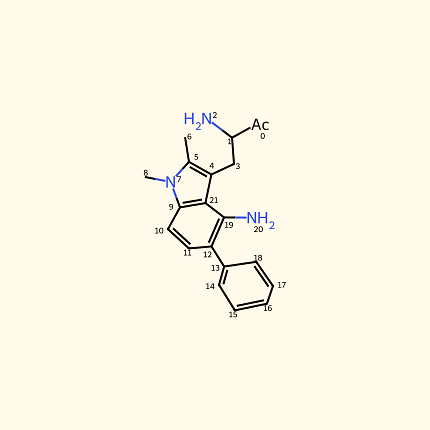 CC(=O)C(N)Cc1c(C)n(C)c2ccc(-c3ccccc3)c(N)c12